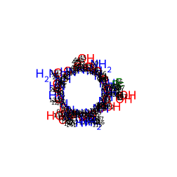 CCCC[C@H]1C(=O)N(C)[C@@H](CCCC)C(=O)N[C@@H](CC(C)C)C(=O)N[C@H](C(=O)NCC(N)=O)CSCC(=O)N[C@@H](Cc2ccc(O)cc2)C(=O)N(C)[C@@H](C)C(=O)N[C@@H](CC(N)=O)C(=O)N2CCC[C@H]2C(=O)N[C@@H](CNCc2ccc(B(O)O)cc2C(F)(F)F)C(=O)N[C@@H](CC(C)C)C(=O)N2C[C@H](O)C[C@H]2C(=O)N[C@@H](Cc2c[nH]c3ccccc23)C(=O)N[C@@H](CCN)C(=O)N[C@@H](Cc2cn(CC(=O)O)c3ccccc23)C(=O)N1C